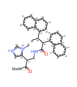 CNC(=O)C(CNC(=O)C(c1cccc2ccccc12)C(C)c1cccc2ccccc12)c1cncn1C